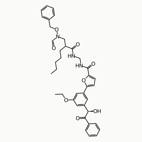 CCCCCC(CN(C=O)OCc1ccccc1)C(=O)NCNC(=O)c1ccc(-c2cc(OCC)cc([C@@H](O)C(=O)c3ccccc3)c2)o1